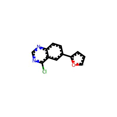 Clc1ncnc2ccc(-c3cc[c]o3)cc12